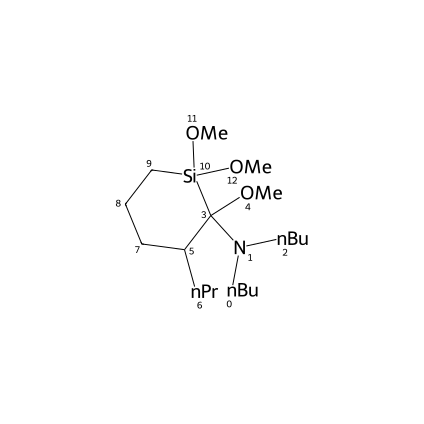 CCCCN(CCCC)C1(OC)C(CCC)CCC[Si]1(OC)OC